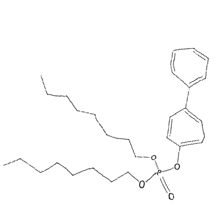 CCCCCCCCOP(=O)(OCCCCCCCC)Oc1ccc(-c2ccccc2)cc1